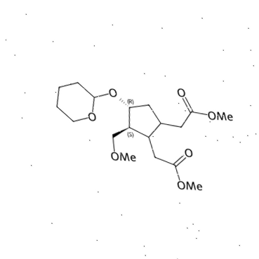 COC[C@@H]1C(CC(=O)OC)C(CC(=O)OC)C[C@H]1OC1CCCCO1